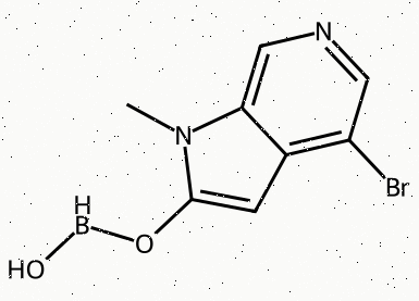 Cn1c(OBO)cc2c(Br)cncc21